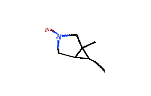 CC1C2CN(Br)CC12C